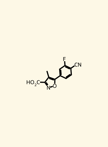 Cc1c(C(=O)O)noc1-c1ccc(C#N)c(F)c1